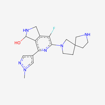 Cn1cc(-c2nc(N3CCC4(CCNC4)C3)c(F)c3c2C(O)NC3)cn1